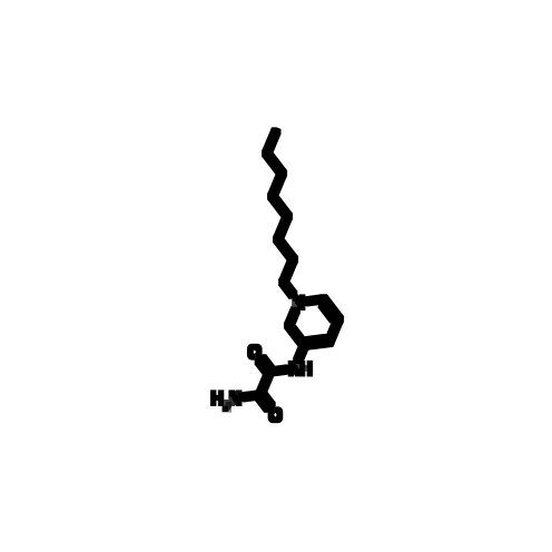 CCCCCCCCN1C=CC=C(NC(=O)C(N)=O)C1